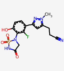 Cn1nc(-c2ccc(O)c(N3CC(=O)NS3(=O)=O)c2F)cc1CCC#N